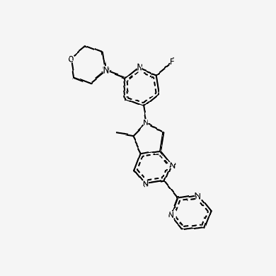 CC1c2cnc(-c3ncccn3)nc2CN1c1cc(F)nc(N2CCOCC2)c1